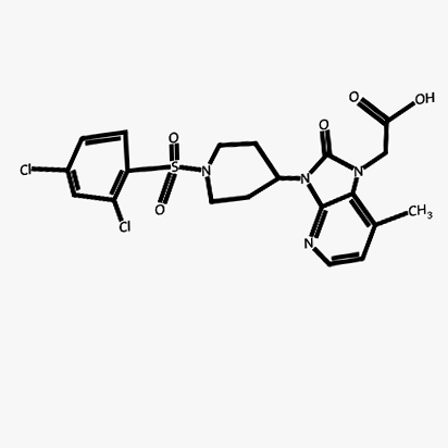 Cc1ccnc2c1n(CC(=O)O)c(=O)n2C1CCN(S(=O)(=O)c2ccc(Cl)cc2Cl)CC1